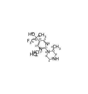 C[C@H]1CNCCN1c1ncc(C(C)(O)C(F)(F)F)cn1.Cl.Cl